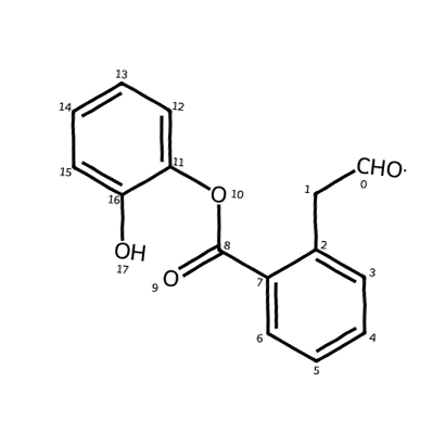 O=[C]Cc1ccccc1C(=O)Oc1ccccc1O